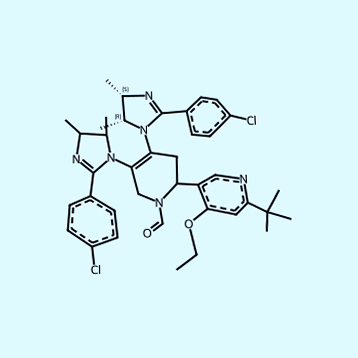 CCOc1cc(C(C)(C)C)ncc1C1CC(N2C(c3ccc(Cl)cc3)=N[C@@H](C)[C@H]2C)=C(N2C(c3ccc(Cl)cc3)=NC(C)C2C)CN1C=O